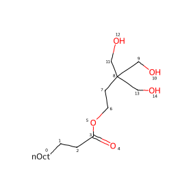 CCCCCCCCCCC(=O)OCCC(CO)(CO)CO